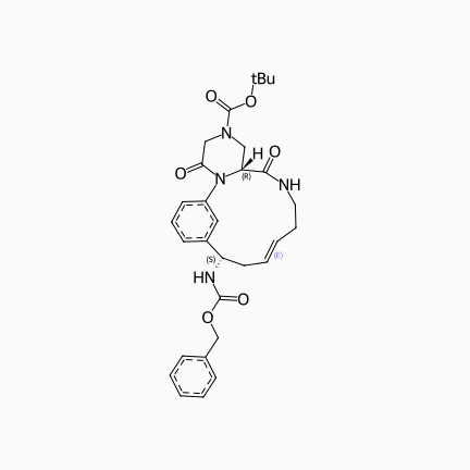 CC(C)(C)OC(=O)N1CC(=O)N2c3cccc(c3)[C@@H](NC(=O)OCc3ccccc3)C/C=C/CCNC(=O)[C@H]2C1